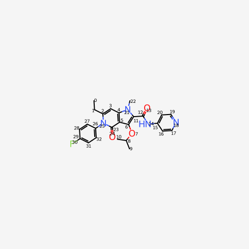 CCc1cc2c(c(OC(C)C)c(C(=O)Nc3ccncc3)n2C)c(=O)n1-c1ccc(F)cc1